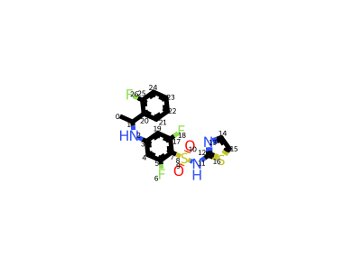 CC(Nc1cc(F)c(S(=O)(=O)Nc2nccs2)c(F)c1)c1ccccc1F